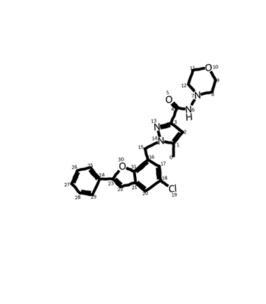 Cc1cc(C(=O)NN2CCOCC2)nn1Cc1cc(Cl)cc2cc(-c3ccccc3)oc12